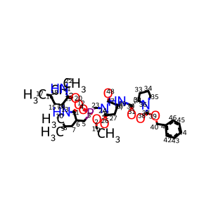 CCOP(=O)(CC(CC(C)C)C(=O)N[C@@H](CC(C)C)C(=O)NC)CN1C(=O)C[C@H](NC(=O)[C@@H]2CCCN2C(=O)OCc2ccccc2)C1=O